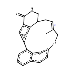 C/C1=C\CC2CNC(=O)c3cc([nH]c32)-c2cccc3ccc(nc23)OC1